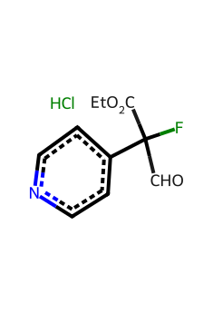 CCOC(=O)C(F)(C=O)c1ccncc1.Cl